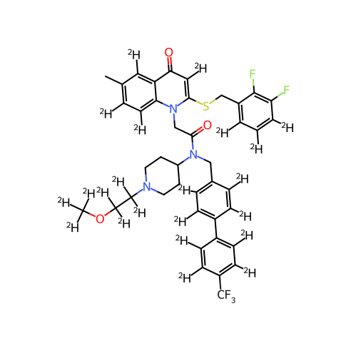 [2H]c1c([2H])c(F)c(F)c(CSc2c([2H])c(=O)c3c([2H])c(C)c([2H])c([2H])c3n2CC(=O)N(Cc2c([2H])c([2H])c(-c3c([2H])c([2H])c(C(F)(F)F)c([2H])c3[2H])c([2H])c2[2H])C2CCN(C([2H])([2H])C([2H])([2H])OC([2H])([2H])[2H])CC2)c1[2H]